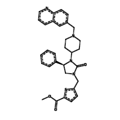 COC(=O)c1ccc(CN2C[C@@H](c3ccccc3)N(C3CCN(Cc4ccc5ncccc5c4)CC3)C2=O)s1